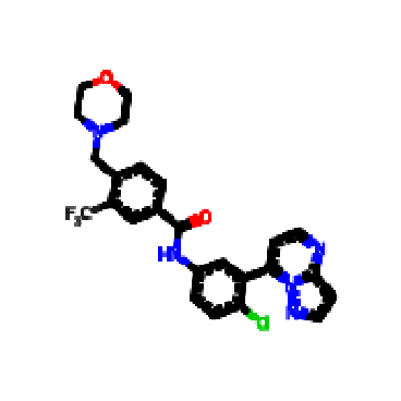 O=C(Nc1ccc(Cl)c(-c2ccnc3ccnn23)c1)c1ccc(CN2CCOCC2)c(C(F)(F)F)c1